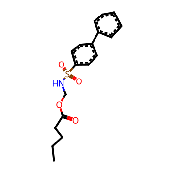 CCCCC(=O)OCNS(=O)(=O)c1ccc(-c2ccccc2)cc1